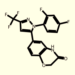 O=C1COc2ccc(-c3cc(C(F)(F)F)nn3-c3ccc(F)cc3F)cc2N1